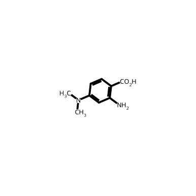 CN(C)c1ccc(C(=O)O)c(N)c1